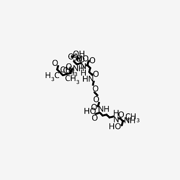 CNC(CO)C(=O)NCCCCC(NC(=O)COCCOCCNC(=O)CCC(NC(=O)C(CS(=O)(=O)O)NC(=O)CC(C)(C)CC(C)(C)CC=O)C(=O)O)C(=O)O